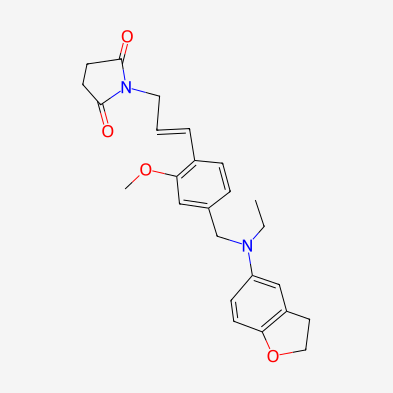 CCN(Cc1ccc(/C=C/CN2C(=O)CCC2=O)c(OC)c1)c1ccc2c(c1)CCO2